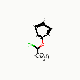 CCOC(=O)C(Cl)Oc1ccccc1